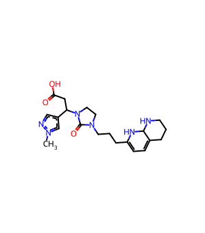 Cn1cc(C(CC(=O)O)N2CCN(CCCC3=CC=C4CCCNC4N3)C2=O)cn1